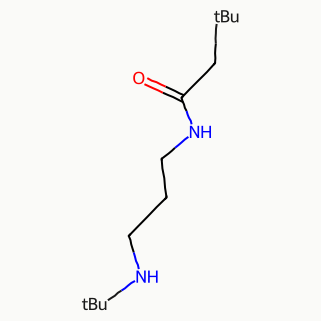 CC(C)(C)CC(=O)NCCCNC(C)(C)C